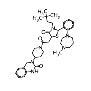 CN1CCCN(c2ccccc2C2SC(CC(=O)N3CCC(N4Cc5ccccc5NC4=O)CC3)C(=O)N2CCC(C)(C)C)CC1